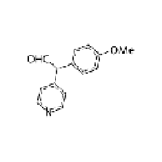 COc1ccc(C(C=O)c2ccncc2)cc1